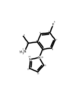 CC(N)c1cc(F)ccc1-n1cccn1